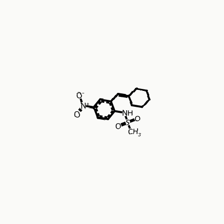 CS(=O)(=O)Nc1ccc([N+](=O)[O-])cc1C=C1CCCCC1